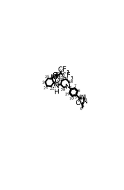 Cc1nnc(-c2ccc(N3CCCC(NC4(OC(=O)C(C(F)(F)F)C(F)(F)F)CCCCC4N)C3)cc2)o1